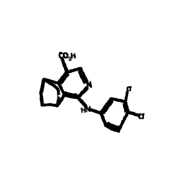 O=C(O)c1cnc(Nc2ccc(Cl)c(Cl)c2)c2c1C1CCC2CC1